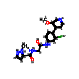 COc1cnccc1-c1ccc(NC(=O)CNC(=O)c2ccnn2C)cc1F